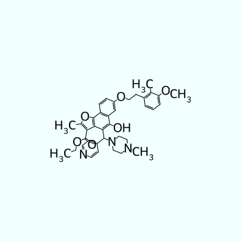 CCOC(=O)c1c(C)oc2c1c(C(c1ccncc1)N1CCN(C)CC1)c(O)c1cc(OCCc3cccc(OC)c3C)ccc12